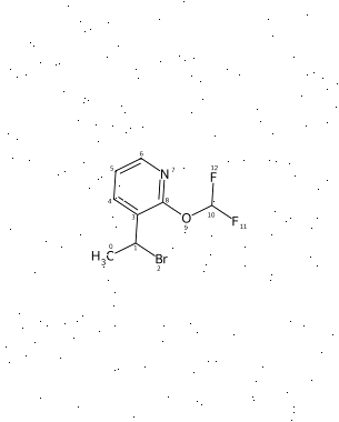 CC(Br)c1cccnc1OC(F)F